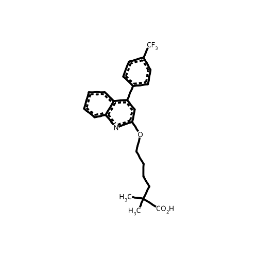 CC(C)(CCCCOc1cc(-c2ccc(C(F)(F)F)cc2)c2ccccc2n1)C(=O)O